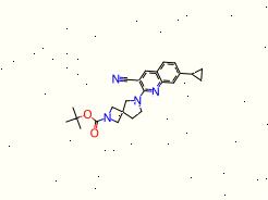 CC(C)(C)OC(=O)N1CC2(CCN(c3nc4cc(C5CC5)ccc4cc3C#N)C2)C1